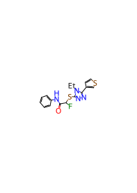 CCn1c(SC(F)C(=O)Nc2ccccc2)nnc1-c1ccsc1